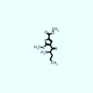 CCCC(N)C(=S)c1cc(C(=O)OC)sc1SC